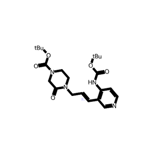 CC(C)(C)OC(=O)Nc1ccncc1/C=C/CN1CCN(C(=O)OC(C)(C)C)CC1=O